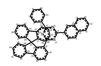 c1ccc(-c2nc(-c3ccc4ccccc4c3)nc(-c3cccc4c3C3(c5ccccc5-c5ccccc53)c3ccccc3-4)n2)cc1